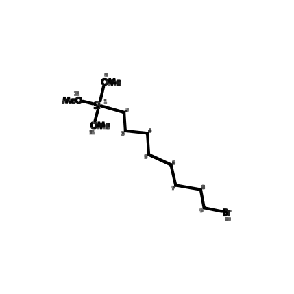 CO[Si](CCCCCCCCBr)(OC)OC